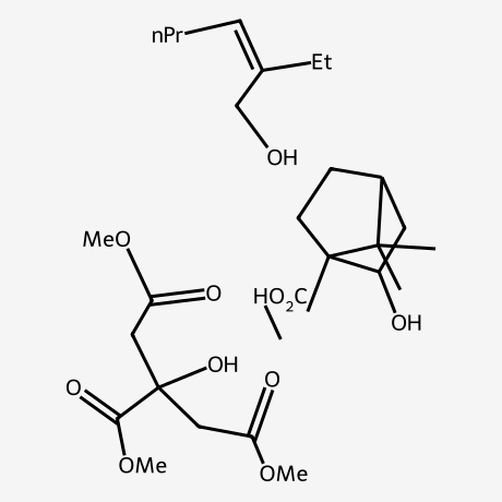 CC(=O)O.CC1(C)C2CCC1(C)C(O)C2.CCCC=C(CC)CO.COC(=O)CC(O)(CC(=O)OC)C(=O)OC